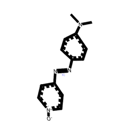 CN(C)c1ccc(/N=N/c2cc[n+]([O-])cc2)cc1